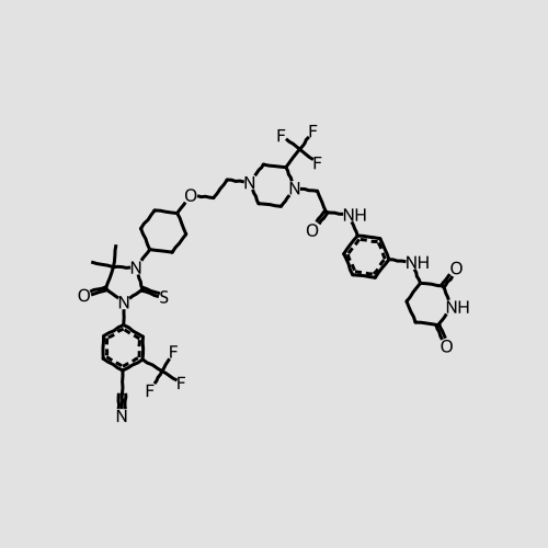 CC1(C)C(=O)N(c2ccc(C#N)c(C(F)(F)F)c2)C(=S)N1C1CCC(OCCN2CCN(CC(=O)Nc3cccc(NC4CCC(=O)NC4=O)c3)C(C(F)(F)F)C2)CC1